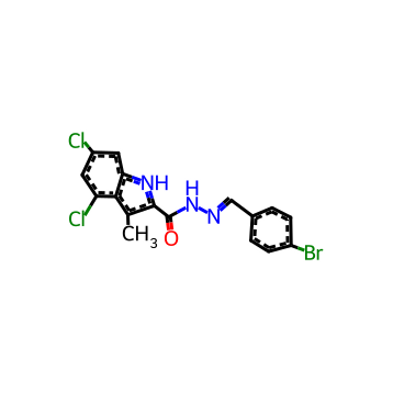 Cc1c(C(=O)NN=Cc2ccc(Br)cc2)[nH]c2cc(Cl)cc(Cl)c12